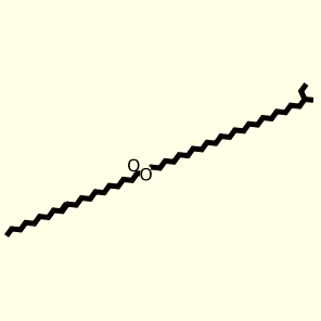 CCCCCCCCC=CCCCCCCCCCC(=O)OCCCCCCCCCCCCCCCCCCCCCCC(C)CC